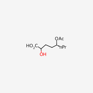 CCC[C@@H](CCC(O)C(=O)O)OC(C)=O